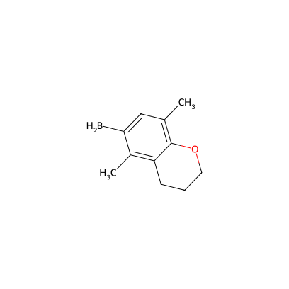 Bc1cc(C)c2c(c1C)CCCO2